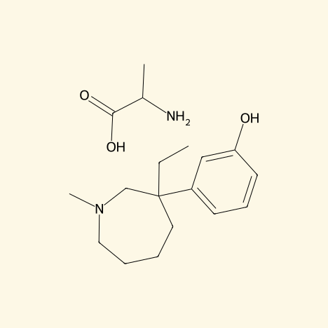 CC(N)C(=O)O.CCC1(c2cccc(O)c2)CCCCN(C)C1